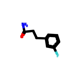 NC(=O)C[CH]c1cccc(F)c1